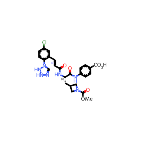 COC(=O)N1CC(C[C@H](NC(=O)/C=C/c2cc(Cl)ccc2N2C=NNN2)C(=O)Nc2ccc(C(=O)O)cc2)C1